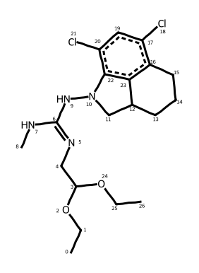 CCOC(CN=C(NC)NN1CC2CCCc3c(Cl)cc(Cl)c1c32)OCC